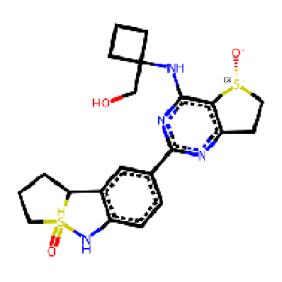 O=[SH]12CCCC1c1cc(-c3nc4c(c(NC5(CO)CCC5)n3)[S@+]([O-])CC4)ccc1N2